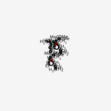 CC(C)=CC1C(C(=O)OC(C#N)c2cccc(Oc3ccccc3)c2)C1(C)C.CC[C@H]1CCC[C@H](O[C@H]2CC[C@H](N(C)C)[C@@H](C)O2)[C@@H](C)C(=O)C2=C[C@@H]3[C@@H](C=C(C)[C@@H]4C[C@@H](O[C@@H]5O[C@@H](C)[C@H](OC)[C@@H](OC)[C@H]5OC)C[C@@H]34)[C@@H]2CC(=O)O1.CC[C@H]1CCC[C@H](O[C@H]2CC[C@H](N(C)C)[C@@H](C)O2)[C@@H](C)C(=O)C2=C[C@@H]3[C@@H](C=C[C@@H]4C[C@@H](O[C@@H]5O[C@@H](C)[C@H](OC)[C@@H](OC)[C@H]5OC)C[C@@H]34)[C@@H]2CC(=O)O1